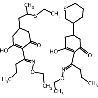 CCC/C(=N\OCC)C1=C(O)CC(C2CCCSC2)CC1=O.CCCC(=NOCC)C1=C(O)CC(CC(C)SCC)CC1=O